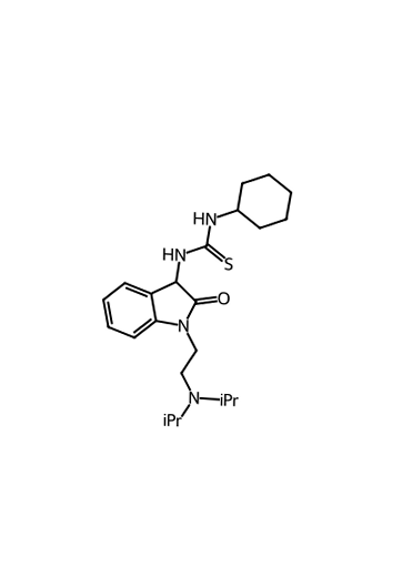 CC(C)N(CCN1C(=O)C(NC(=S)NC2CCCCC2)c2ccccc21)C(C)C